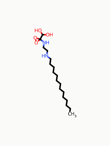 CCCCCCCCCCCCCCNCCNC1(C(O)O)OO1